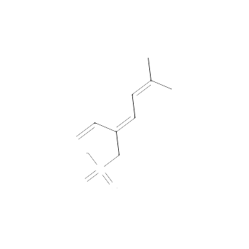 C=C/C(=C\C=C(C)C)CS(=O)(=O)Cl